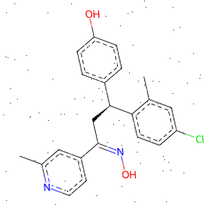 Cc1cc(/C(C[C@@H](c2ccc(O)cc2)c2ccc(Cl)cc2C)=N\O)ccn1